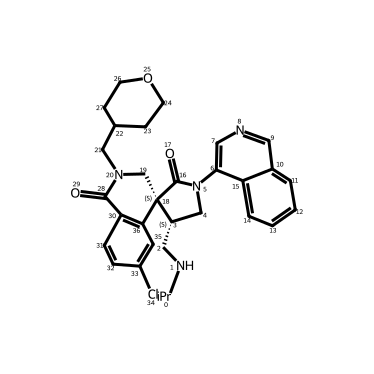 CC(C)NC[C@H]1CN(c2cncc3ccccc23)C(=O)[C@@]12CN(CC1CCOCC1)C(=O)c1ccc(Cl)cc12